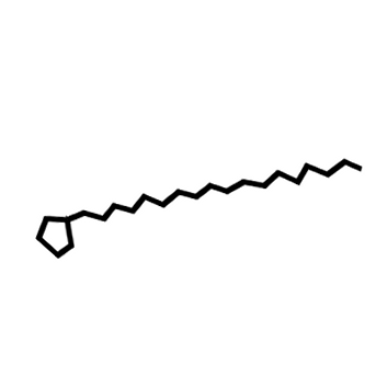 CCCCCCCCCCCCCCCCCC[C]1CCCC1